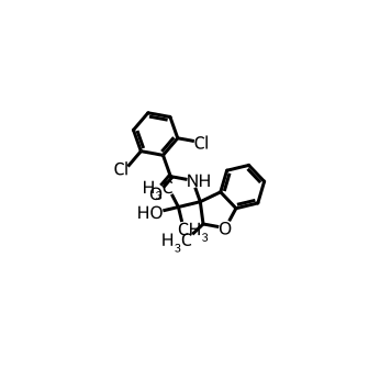 CC1Oc2ccccc2C1(NC(=O)c1c(Cl)cccc1Cl)C(C)(C)O